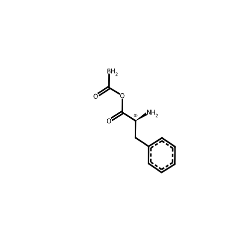 BC(=O)OC(=O)[C@@H](N)Cc1ccccc1